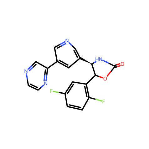 O=C1N[C@H](c2cncc(-c3cnccn3)c2)C(c2cc(F)ccc2F)O1